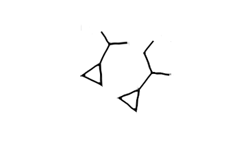 CCC(CC(=O)O)C1CC1.CCCC(C(=O)O)C1CC1